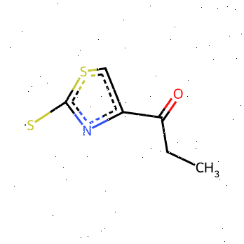 CCC(=O)c1csc([S])n1